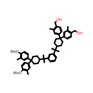 COc1ccc(C2(c3ccc(OC)c(C)c3)CCC(C(C)(C)c3cccc(C(C)(C)C4CCC(c5ccc(CO)c(C)c5)(c5ccc(CO)c(C)c5)CC4)c3)CC2)cc1C